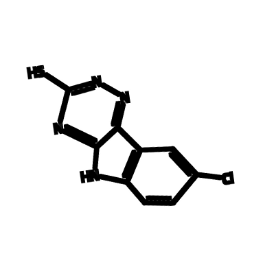 Sc1nnc2c(n1)[nH]c1ccc(Cl)cc12